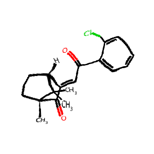 CC1(C)[C@@H]2CC[C@@]1(C)C(=O)/C2=C/C(=O)c1ccccc1Cl